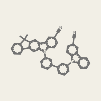 CC1(C)c2ccccc2-c2cc3c(cc21)c1cc(C#N)ccc1n3-c1cccc(-c2cccc(-n3c4ccccc4c4cc(C#N)ccc43)c2)c1